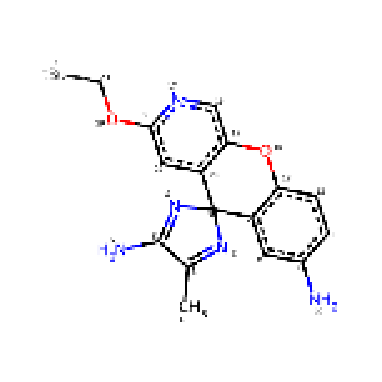 CC1=NC2(N=C1N)c1cc(N)ccc1Oc1cnc(OCC(C)(C)C)cc12